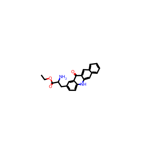 CCOC(=O)C(N)Cc1ccc2[nH]c3cc4ccccc4cc3c(=O)c2c1